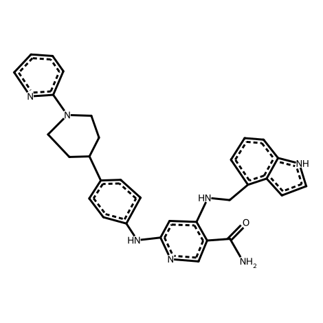 NC(=O)c1cnc(Nc2ccc(C3CCN(c4ccccn4)CC3)cc2)cc1NCc1cccc2[nH]ccc12